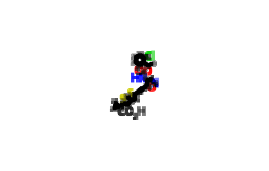 CC(OC(=O)Nc1cnoc1C#Cc1cc2cc(C3(C(=O)O)CC3)sc2s1)c1ccccc1Cl